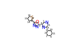 c1ccc(-c2cncc(-c3nnc(-c4cccs4)o3)n2)cc1